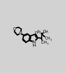 CCCC(C)(O)C(C)c1cc2cc(N3CCOCC3)ccc2[nH]1